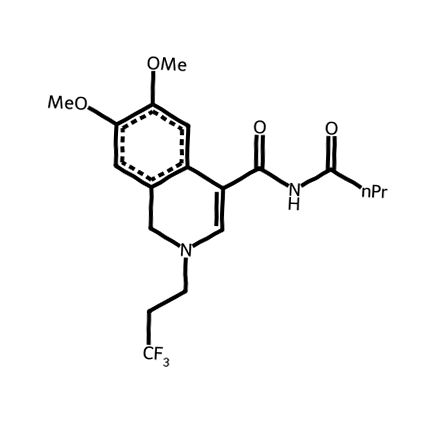 CCCC(=O)NC(=O)C1=CN(CCC(F)(F)F)Cc2cc(OC)c(OC)cc21